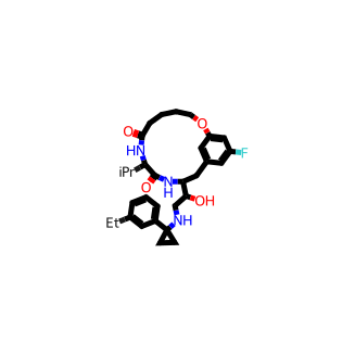 CCc1cccc(C2(NCC(O)C3Cc4cc(F)cc(c4)OCCCCC(=O)NC(C(C)C)C(=O)N3)CC2)c1